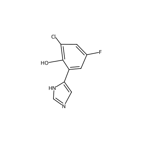 Oc1c(Cl)cc(F)cc1-c1cnc[nH]1